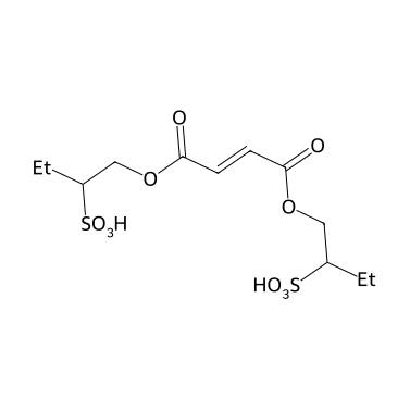 CCC(COC(=O)C=CC(=O)OCC(CC)S(=O)(=O)O)S(=O)(=O)O